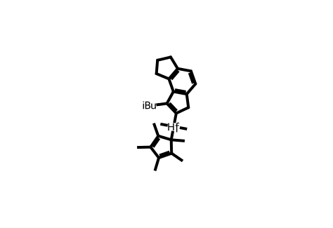 CCC(C)C1=[C]([Hf]([CH3])([CH3])[C]2(C)C(C)=C(C)C(C)=C2C)Cc2ccc3c(c21)CCC3